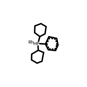 [Rh][PH](c1ccccc1)(C1CCCCC1)C1CCCCC1